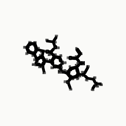 C=CC(=O)Nc1cc(Nc2ncc(C(=O)OC(C)C)c(-c3c4c(nn3C)-c3ccccc3C4)n2)c(OC)cc1N(C)CCN(C)C